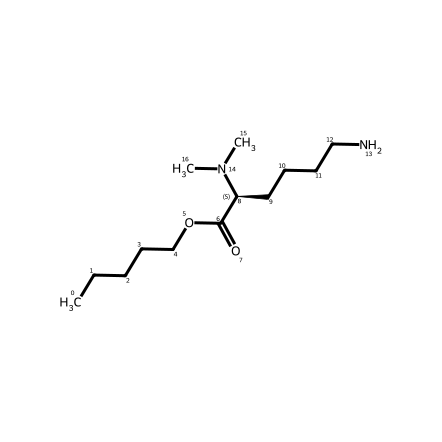 CCCCCOC(=O)[C@H](CCCCN)N(C)C